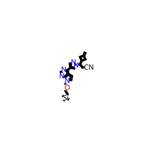 C=C1CC(C(CC#N)n2cc(-c3ncnc4c3ccn4COCC[Si](C)(C)C)cn2)C1